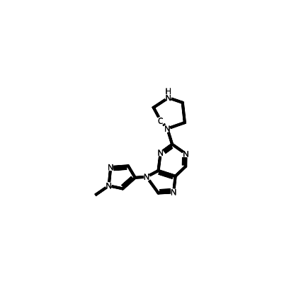 Cn1cc(-n2cnc3cnc(N4CCNCC4)nc32)cn1